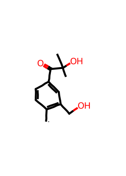 [CH2]c1ccc(C(=O)C(C)(C)O)cc1CO